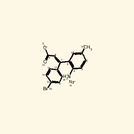 Cc1ccc(N)c(C(=CC(=O)[O-])c2ccc(Br)cc2)c1.[Na+]